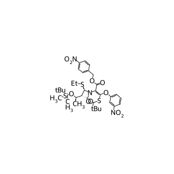 CCS[C@@H]1[C@@H]([C@@H](C)O[Si](C)(C)C(C)(C)C)C(=O)N1C(C(=O)OCc1ccc([N+](=O)[O-])cc1)=C(Oc1cccc([N+](=O)[O-])c1)SC(=O)C(C)(C)C